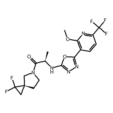 COc1nc(C(F)(F)F)ccc1-c1nnc(N[C@H](C)C(=O)N2CC[C@@]3(C2)CC3(F)F)o1